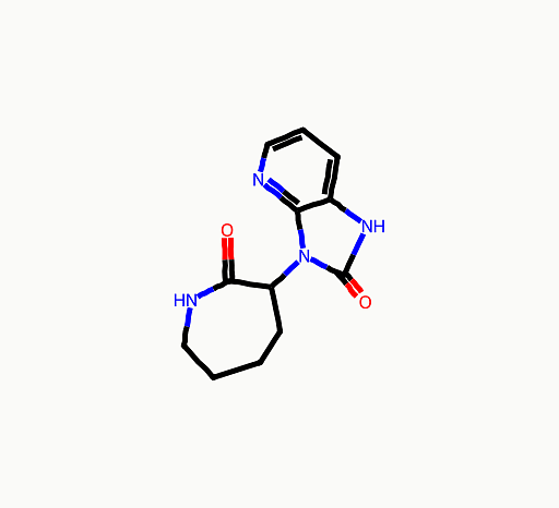 O=C1NCCCCC1n1c(=O)[nH]c2cccnc21